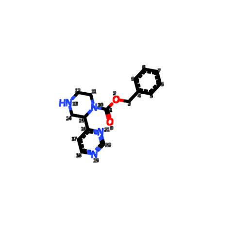 O=C(OCc1ccccc1)N1CCNCC1c1ccncn1